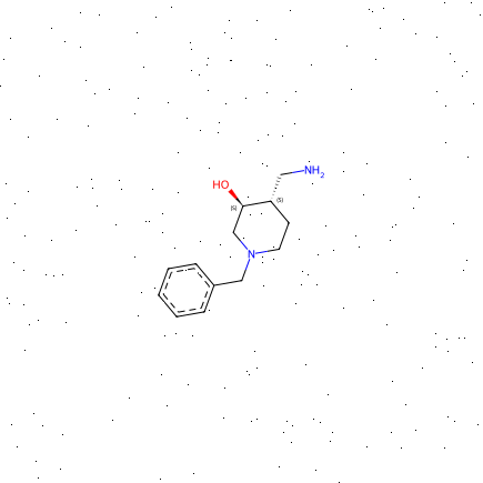 NC[C@@H]1CCN(Cc2ccccc2)C[C@H]1O